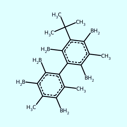 Bc1c(B)c(-c2c(B)c(C)c(B)c(C(C)(C)C)c2B)c(C)c(B)c1C